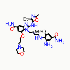 CCc1nc(C)oc1Nc1nc2cc(C(N)=O)cc(OCCCN3CCOCC3)c2n1C/C=C/CNc1c(N)cc(C(N)=O)cc1OC